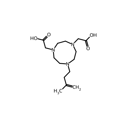 C=C(C)CCN1CCN(CC(=O)O)CCN(CC(=O)O)CC1